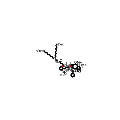 CCCCCCCCCCCCCCCCCCN(CCCCCCCCCCCCCCCCCC)CCNC(=O)CCC(=O)O[C@@H](C(=O)O[C@H]1C[C@@]2(O)[C@@H](OC(=O)c3ccccc3)[C@@H]3[C@]4(OC(C)=O)CO[C@@H]4C[C@H](OC)[C@@]3(C)C(=O)[C@H](OC)C(=C1C)C2(C)C)[C@@H](NC(=O)OC(C)(C)C)c1ccccc1